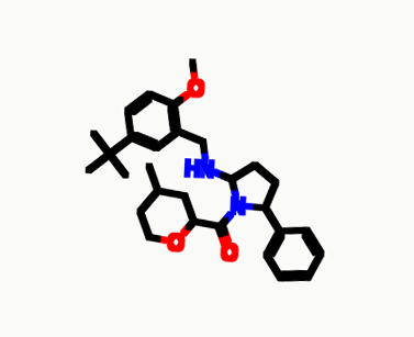 COc1ccc(C(C)(C)C)cc1CNC1CCC(c2ccccc2)N1C(=O)C1CC(C)CCO1